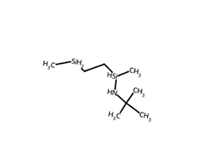 C[SiH2]CC[SiH](C)NC(C)(C)C